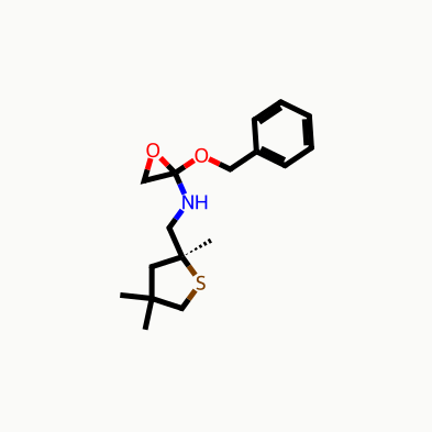 CC1(C)CS[C@](C)(CNC2(OCc3ccccc3)CO2)C1